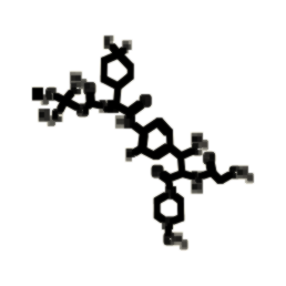 CCC(=O)NC(C(=O)N1CCN(C)CC1)C(C)c1ccc(NC(=O)C(NC(=O)OC(C)(C)C)C2CCC(F)(F)CC2)c(F)c1